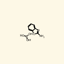 Nc1nc2ccccc2o1.OB(O)O